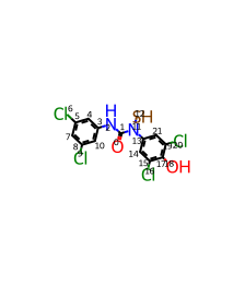 O=C(Nc1cc(Cl)cc(Cl)c1)N(S)c1cc(Cl)c(O)c(Cl)c1